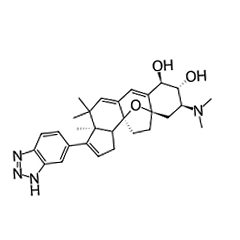 CN(C)[C@H]1C[C@@]23CC[C@@]4(O2)C(=CC(C)(C)[C@]2(C)C(c5ccc6nn[nH]c6c5)=CCC42)C=C3[C@@H](O)[C@@H]1O